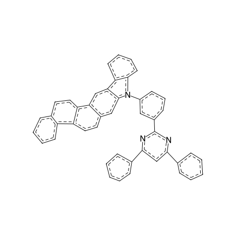 c1ccc(-c2cc(-c3ccccc3)nc(-c3cccc(-n4c5ccccc5c5cc6c(ccc7c8ccccc8ccc67)cc54)c3)n2)cc1